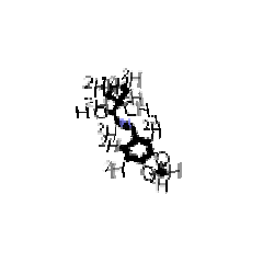 [2H]/C(=C\c1c([2H])c([2H])c2c(c1[2H])OC([2H])([2H])O2)C(O)C(C)(C([2H])([2H])[2H])C([2H])([2H])[2H]